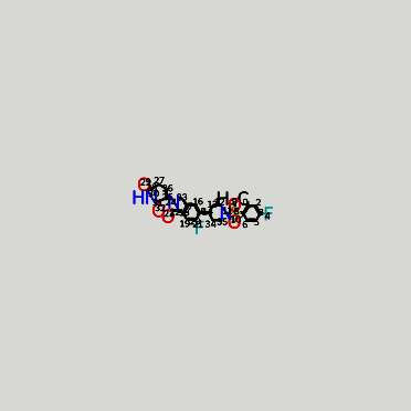 Cc1cc(F)ccc1S(=O)(=O)N1CCC(c2cc3c(cc2F)C(=O)N(C2CCC(=O)NC2=O)C3)CC1